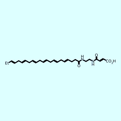 CCC=CCC=CCC=CCC=CCC=CCC=CCCC(=O)NCCNC(=O)C=CC(=O)O